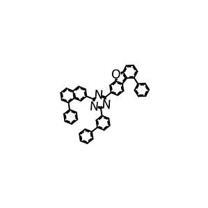 c1ccc(-c2cccc(-c3nc(-c4ccc5c(c4)oc4cccc(-c6ccccc6)c45)nc(-c4ccc5cccc(-c6ccccc6)c5c4)n3)c2)cc1